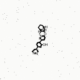 Oc1cc(-c2ccnnc2)ccc1-c1ccc(O[C@@H]2C[C@H]3CCC[C@H](N3)[C@@H]2F)nn1